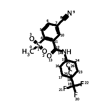 CS(=O)(=O)c1ccc(C#N)cc1C(=O)NC12CCC(C(F)(F)F)(CC1)CC2